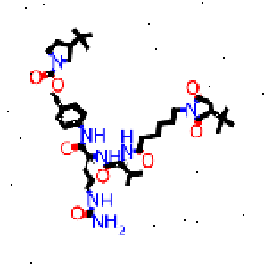 CC(C)[C@H](NC(=O)CCCCCN1C(=O)CC(C(C)(C)C)C1=O)C(=O)N[C@@H](CCCNC(N)=O)C(=O)Nc1ccc(COC(=O)N2CCC(C(C)(C)C)C2)cc1